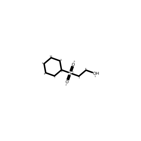 O=S(=O)(CCO)C1CCCCC1